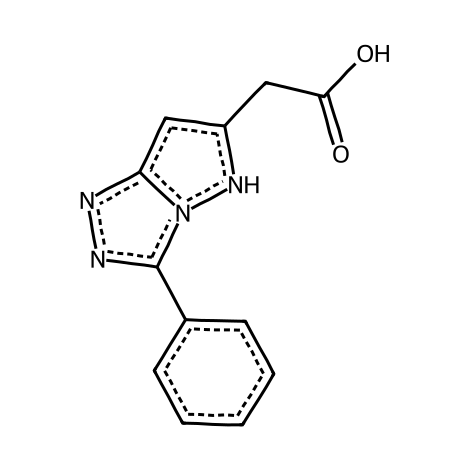 O=C(O)Cc1cc2nnc(-c3ccccc3)n2[nH]1